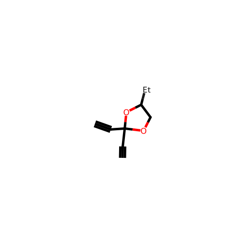 C#CC1(C#C)OCC(CC)O1